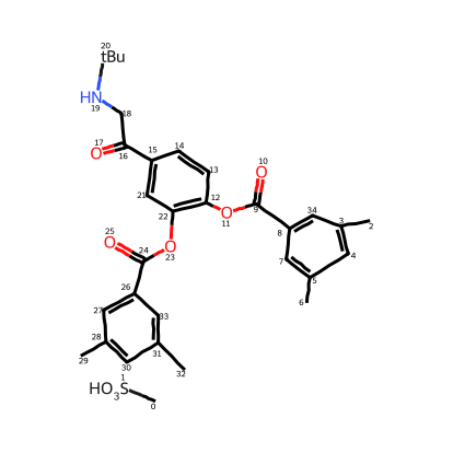 CS(=O)(=O)O.Cc1cc(C)cc(C(=O)Oc2ccc(C(=O)CNC(C)(C)C)cc2OC(=O)c2cc(C)cc(C)c2)c1